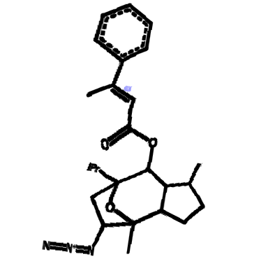 C/C(=C\C(=O)OC1C2C(C)CCC2C2(C)OC1(C(C)C)CC2N=[N+]=[N-])c1ccccc1